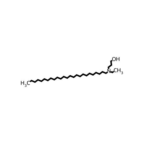 CCCCCCCCCCCCCCCCCCCCCCCCCN(CC)CCCO